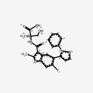 Cc1oc2cc(F)c(-c3ccnn3-c3ccccc3)cc2c1C(=O)N[C@@](C)(CO)C(N)=O